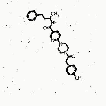 Cc1ccc(CC(=O)N2CCN(c3ccc(C(=O)NC(C)CCc4ccccc4)cn3)CC2)cc1